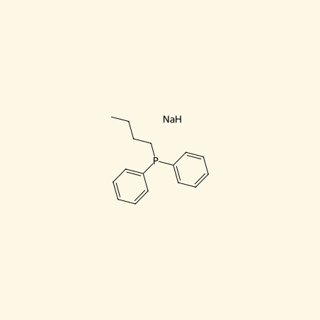 CCCCP(c1ccccc1)c1ccccc1.[NaH]